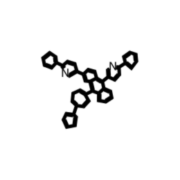 C1=CC(c2c3ccccc3c(-c3ccc(-c4ccccc4)nc3)c3ccc(-c4ccc(-c5ccccc5)nc4)cc23)=CCC=C1c1ccccc1